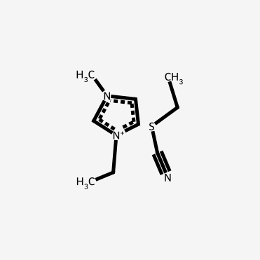 CCSC#N.CC[n+]1ccn(C)c1